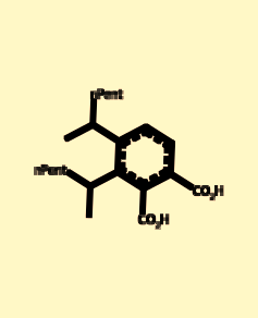 CCCCCC(C)c1ccc(C(=O)O)c(C(=O)O)c1C(C)CCCCC